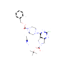 CC(C)(C)OC(=O)N1Cc2nc(Cl)nc(N3CCN(C(=O)OCc4ccccc4)[C@@H](CC#N)C3)c2C1